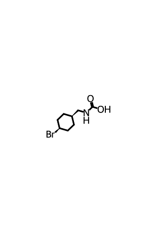 O=C(O)NC[C@H]1CC[C@@H](Br)CC1